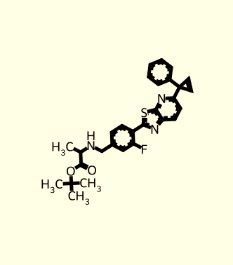 CC(NCc1ccc(-c2nc3ccc(C4(c5ccccc5)C=C4)nc3s2)c(F)c1)C(=O)OC(C)(C)C